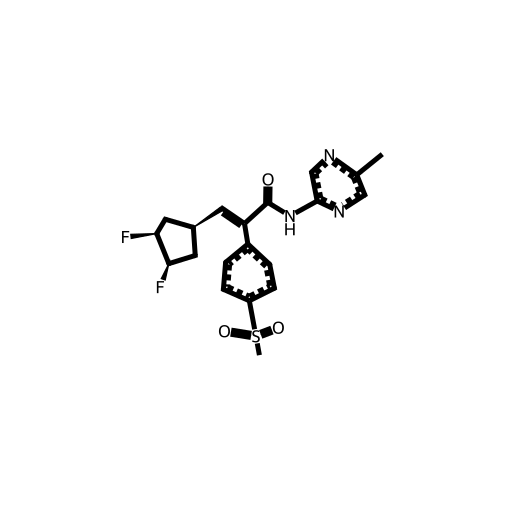 Cc1cnc(NC(=O)/C(=C/[C@H]2C[C@@H](F)[C@@H](F)C2)c2ccc(S(C)(=O)=O)cc2)cn1